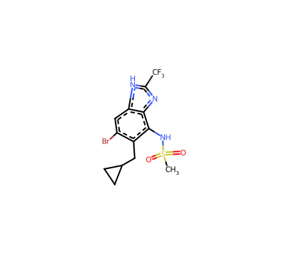 CS(=O)(=O)Nc1c(CC2CC2)c(Br)cc2[nH]c(C(F)(F)F)nc12